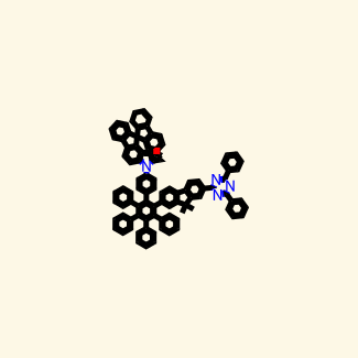 CC1(C)c2cc(-c3nc(-c4ccccc4)nc(-c4ccccc4)n3)ccc2-c2ccc(-c3c(-c4ccccc4)c(-c4ccccc4)c(-c4ccccc4)c(-c4ccccc4)c3-c3ccc(-n4c5c(c6c7c(ccc64)-c4ccccc4C74C6=C(C=CCC6)c6ccccc64)C#CCC=C5)cc3)cc21